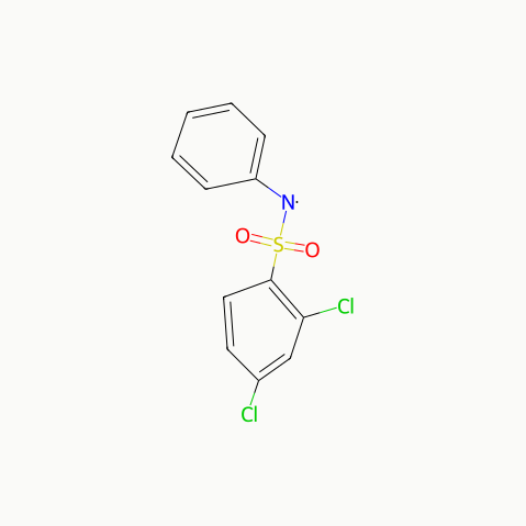 O=S(=O)([N]c1ccccc1)c1ccc(Cl)cc1Cl